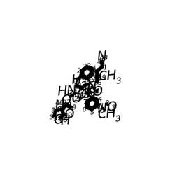 CN(C=O)c1cccc(S(=O)(=O)N(C[C@@H](O)[C@H](Cc2ccccc2)NC(=O)O[C@H]2CO[C@H]3OCC[C@H]32)CC(C)(C)CCC#N)c1